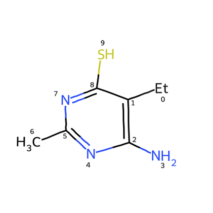 [CH2]Cc1c(N)nc(C)nc1S